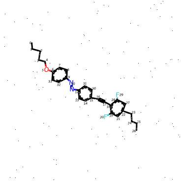 CCCCCOc1ccc(N=Nc2ccc(C#Cc3c(F)cc(CCCC)cc3F)cc2)cc1